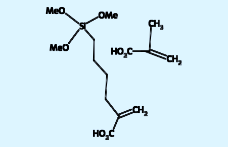 C=C(C)C(=O)O.C=C(CCCC[Si](OC)(OC)OC)C(=O)O